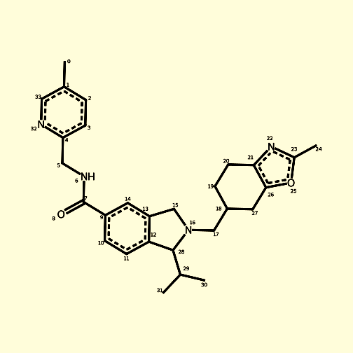 Cc1ccc(CNC(=O)c2ccc3c(c2)CN(CC2CCc4nc(C)oc4C2)C3C(C)C)nc1